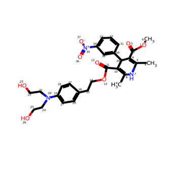 COC(=O)C1=C(C)NC(C)=C(C(=O)OCCc2ccc(N(CCO)CCO)cc2)C1c1cccc([N+](=O)[O-])c1